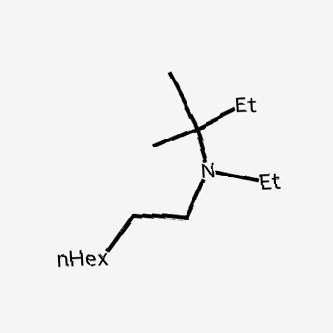 CCCCCCCCN(CC)C(C)(C)CC